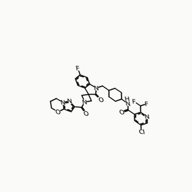 O=C(NC1CCC(CN2C(=O)C3(CN(C(=O)c4cc5n(n4)CCCO5)C3)c3ccc(F)cc32)CC1)c1cc(Cl)cnc1C(F)F